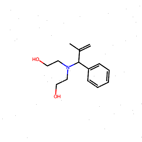 C=C(C)C(c1ccccc1)N(CCO)CCO